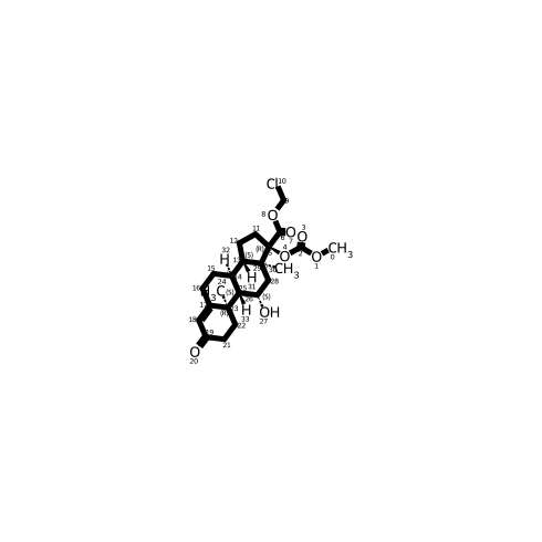 COC(=O)O[C@]1(C(=O)OCCl)CC[C@H]2[C@@H]3CCC4=CC(=O)CC[C@]4(C)[C@H]3[C@@H](O)C[C@@]21C